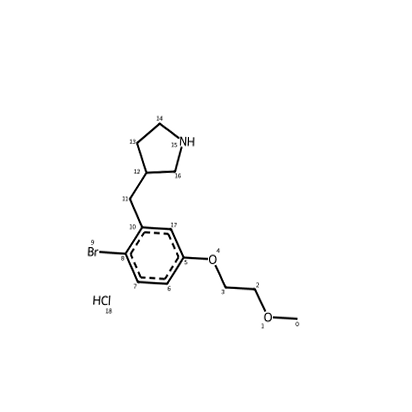 COCCOc1ccc(Br)c(CC2CCNC2)c1.Cl